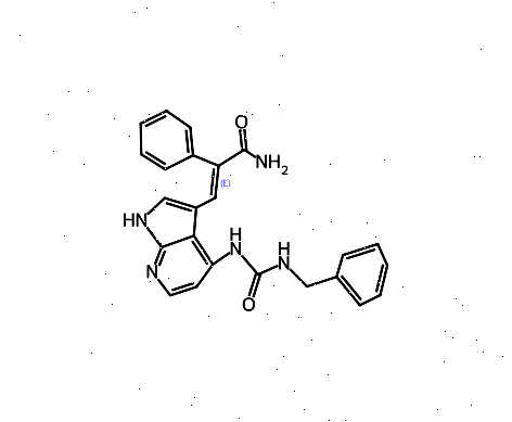 NC(=O)/C(=C/c1c[nH]c2nccc(NC(=O)NCc3ccccc3)c12)c1ccccc1